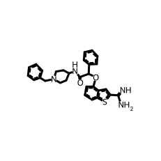 N=C(N)c1cc2c(OC(C(=O)NC3CCN(Cc4ccccc4)CC3)c3ccccc3)cccc2s1